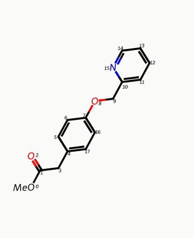 COC(=O)Cc1ccc(OCc2ccccn2)cc1